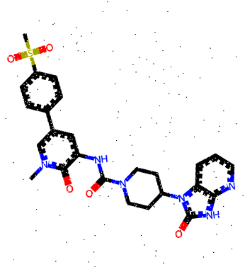 Cn1cc(-c2ccc(S(C)(=O)=O)cc2)cc(NC(=O)N2CCC(n3c(=O)[nH]c4ncccc43)CC2)c1=O